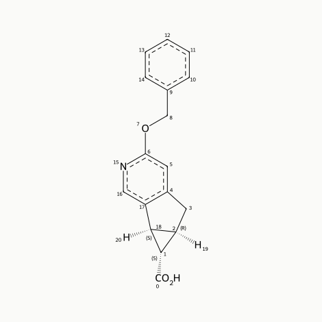 O=C(O)[C@H]1[C@@H]2Cc3cc(OCc4ccccc4)ncc3[C@@H]21